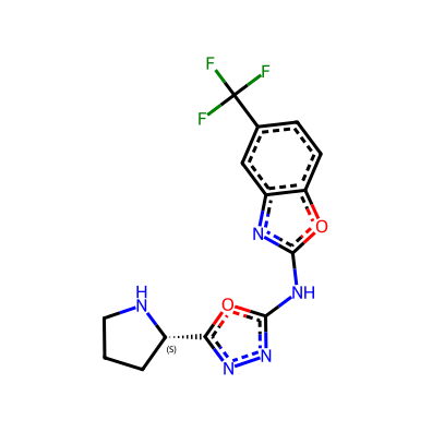 FC(F)(F)c1ccc2oc(Nc3nnc([C@@H]4CCCN4)o3)nc2c1